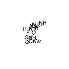 COc1ccccc1C(=O)NCCc1ccc(-c2nn(C3CCNCC3)c3ncnc(N)c23)cc1